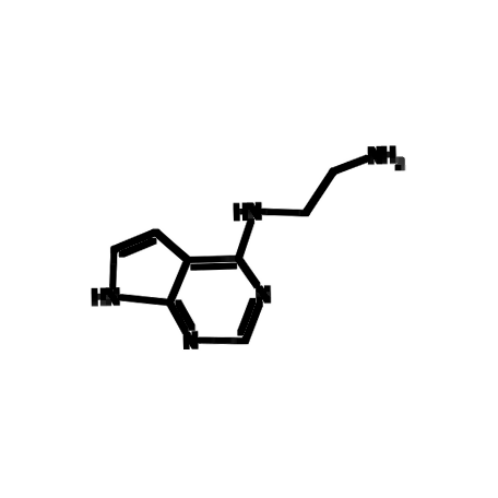 NCCNc1ncnc2[nH]ccc12